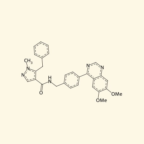 COc1cc2ncnc(-c3ccc(CNC(=O)c4cnn(C)c4Cc4ccccc4)cc3)c2cc1OC